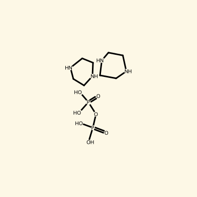 C1CNCCN1.C1CNCCN1.O=P(O)(O)OP(=O)(O)O